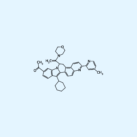 C=C(C1Cc2c(ccc3nc(-c4cc(C)ccn4)ccc23)-c2c(C3CCCCC3)c3ccc(C(C)=O)cc3n21)N1CCOCC1